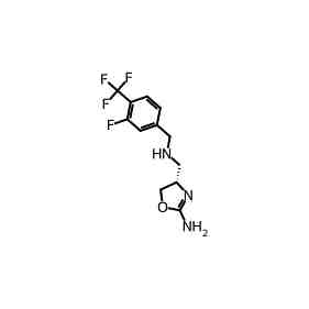 NC1=N[C@@H](CNCc2ccc(C(F)(F)F)c(F)c2)CO1